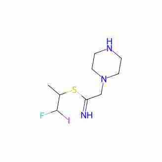 CC(SC(=N)CN1CCNCC1)C(F)I